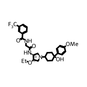 CCO[C@@H]1CN(C2CCC(O)(c3ccc(OC)cc3)CC2)C[C@@H]1NC(=O)CNC(=O)c1cccc(C(F)(F)F)c1